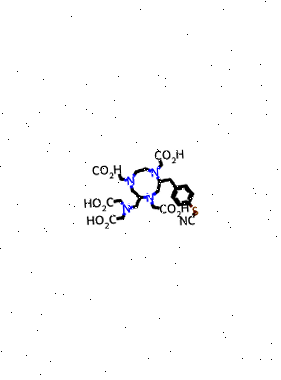 N#CSc1ccc(CC2CN(CC(=O)O)C(CN(CC(=O)O)CC(=O)O)CN(CC(=O)O)CCN2CC(=O)O)cc1